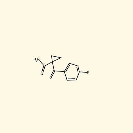 NC(=O)C1(C(=O)c2ccc(F)cc2)CC1